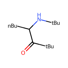 CCCCC(NC(C)(C)C)C(=O)C(C)(C)C